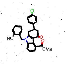 COC(=O)c1cccc2c1c1c(n2Cc2ccccc2C#N)CC(c2ccc(Cl)cc2)CC1=O